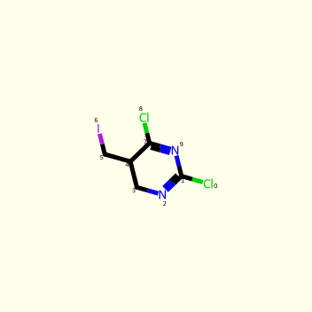 ClC1=NCC(CI)C(Cl)=N1